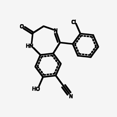 N#Cc1cc2c(cc1O)NC(=O)CN=C2c1ccccc1Cl